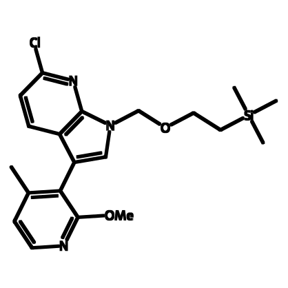 COc1nccc(C)c1-c1cn(COCC[Si](C)(C)C)c2nc(Cl)ccc12